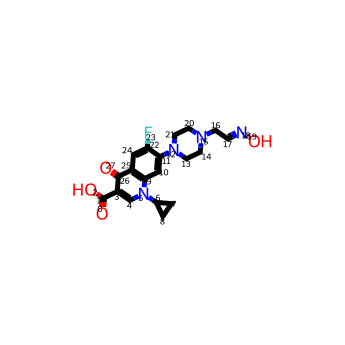 O=C(O)c1cn(C2CC2)c2cc(N3CCN(CC=NO)CC3)c(F)cc2c1=O